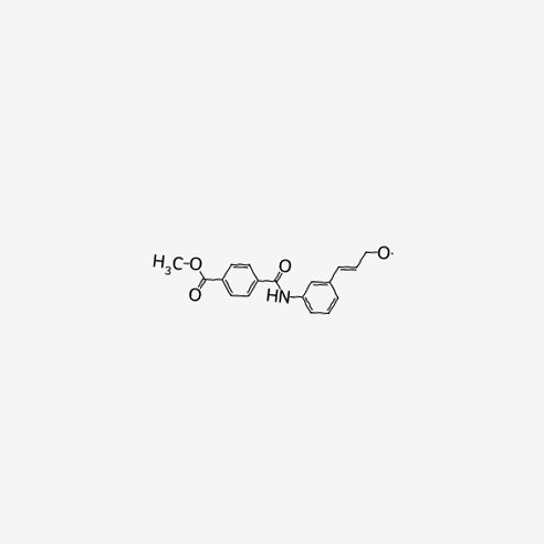 COC(=O)c1ccc(C(=O)Nc2cccc(C=CC[O])c2)cc1